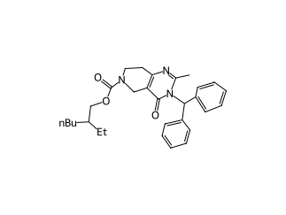 CCCCC(CC)COC(=O)N1CCc2nc(C)n(C(c3ccccc3)c3ccccc3)c(=O)c2C1